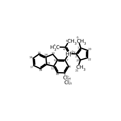 CC1=[C]([Hf+2](=[C](C)C)[c]2cccc3c2Cc2ccccc2-3)C(C)C=C1.[Cl-].[Cl-]